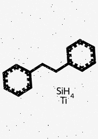 [SiH4].[Ti].c1ccc(CCc2ccccc2)cc1